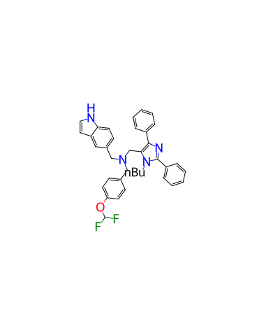 CCCCn1c(-c2ccccc2)nc(-c2ccccc2)c1CN(Cc1ccc(OC(F)F)cc1)Cc1ccc2[nH]ccc2c1